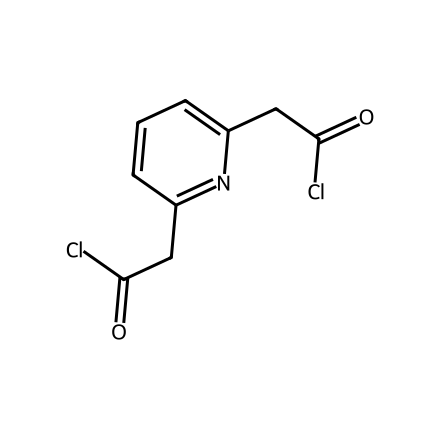 O=C(Cl)Cc1cccc(CC(=O)Cl)n1